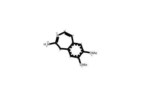 COc1cc2c(cc1OC)CC(N)=NC=C2